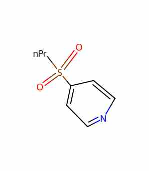 CCCS(=O)(=O)c1ccncc1